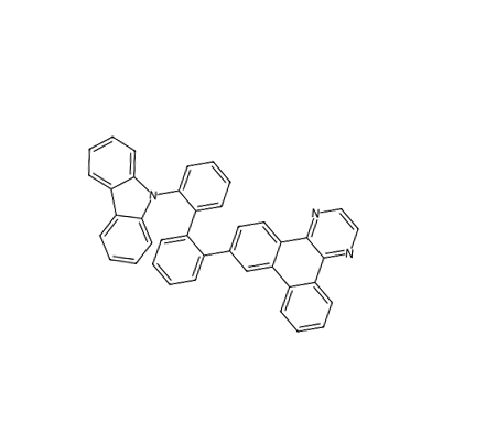 c1ccc(-c2ccccc2-n2c3ccccc3c3ccccc32)c(-c2ccc3c(c2)c2ccccc2c2nccnc32)c1